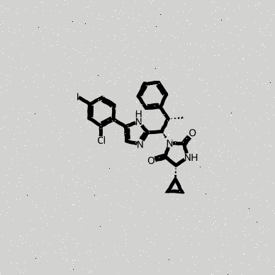 C[C@@H](c1ccccc1)[C@@H](c1ncc(-c2ccc(I)cc2Cl)[nH]1)N1C(=O)N[C@H](C2CC2)C1=O